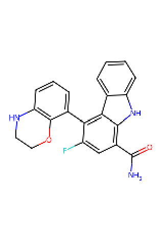 NC(=O)c1cc(F)c(-c2cccc3c2OCCN3)c2c1[nH]c1ccccc12